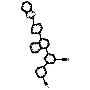 N#Cc1cccc(-c2cc(C#N)cc(-c3ccc(-c4ccc(-c5nc6ccccc6s5)cc4)c4ccccc34)c2)c1